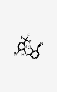 N#Cc1cccc(Nc2nc(C(F)(F)F)ccc2Br)c1Cl